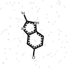 [2H]c1nc2cc(Cl)ccc2[nH]1